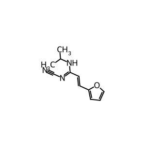 CC(C)NC(C=Cc1ccco1)=NC#N